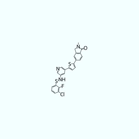 CN1Cc2cc(-c3ccc(-c4cncc(NSc5cccc(Cl)c5F)c4)s3)ccc2C1=O